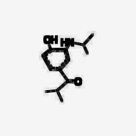 CC(C)Nc1cc(C(=O)C(C)C)ccc1O